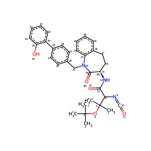 CC(C)(C)OC(C)(C)C(N=C=O)C(=O)N[C@@H]1CCc2ccccc2N(Cc2ccc(-c3ccccc3O)cc2)C1=O